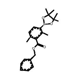 Cc1ccc(B2OC(C)(C)C(C)(C)O2)c(C)c1C(=O)OCc1ccccc1